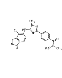 CN(C)C(=O)c1ccc(-c2nc(Nc3ccc4[nH]ncc4c3Cl)n(C)n2)cc1